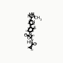 Cn1nnnc1-c1ccc(-c2ccc(N3C[C@@H](CNC(=O)C4CC4)OC3=O)cc2F)cn1